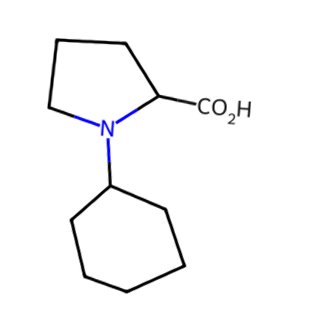 O=C(O)C1CCCN1C1CCCCC1